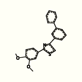 COc1ccc(-c2nc(-c3cccc(-c4ccccc4)c3)cs2)cc1OC